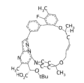 Cc1ccc2c(c1F)-c1cccc(c1)-c1cc3nc(C)c([C@H](OC(C)(C)C)C(=O)O)c(n3n1)N1CCC(C)(CC1)OC/C=C/C[C@H](C)O2